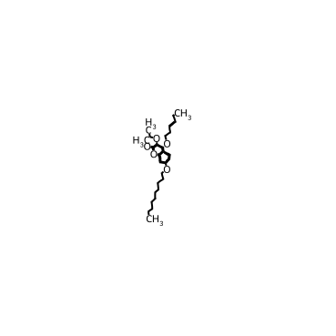 CCC=CCCOc1c(OC(C)C)c(=O)oc2cc(OCCCCCCCCCC)ccc12